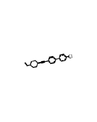 C=CC1CCC(C#Cc2ccc(-c3ccc(Cl)cc3)cc2)CC1